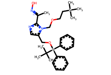 C/C(=N\O)c1ncc(CO[Si](c2ccccc2)(c2ccccc2)C(C)(C)C)n1COCC[Si](C)(C)C